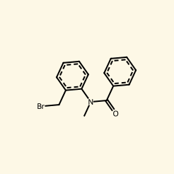 CN(C(=O)c1ccccc1)c1ccccc1CBr